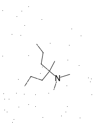 CCCC(C)(CCC)N(C)C